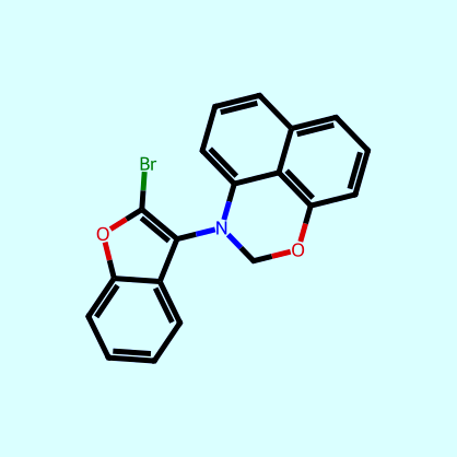 Brc1oc2ccccc2c1N1COc2cccc3cccc1c23